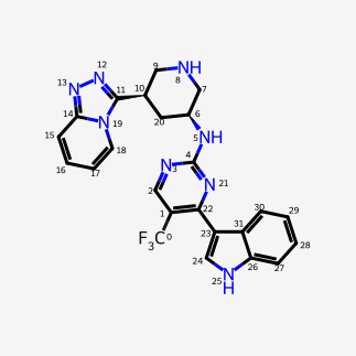 FC(F)(F)c1cnc(N[C@@H]2CNC[C@H](c3nnc4ccccn34)C2)nc1-c1c[nH]c2ccccc12